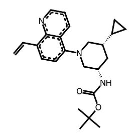 C=Cc1ccc(N2C[C@@H](NC(=O)OC(C)(C)C)C[C@@H](C3CC3)C2)c2cccnc12